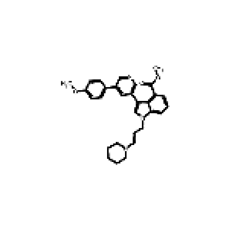 COC(=O)c1cccc2c1c(-c1cncc(-c3ccc(OC)cc3)c1)cn2CCCN1CCCCC1